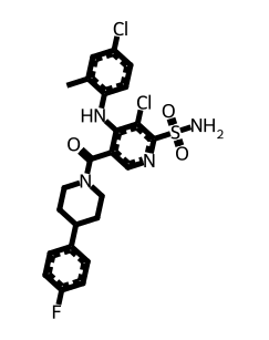 Cc1cc(Cl)ccc1Nc1c(C(=O)N2CCC(c3ccc(F)cc3)CC2)cnc(S(N)(=O)=O)c1Cl